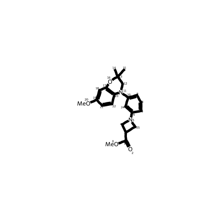 COC(=O)C1CN(c2cccc(N3CC(C)(C)Oc4cc(OC)ccc43)c2)C1